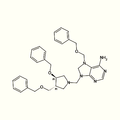 Nc1ncnc2c1N(COCc1ccccc1)CN2CN1C[C@H](COCc2ccccc2)[C@@H](OCc2ccccc2)C1